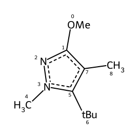 COc1nn(C)c(C(C)(C)C)c1C